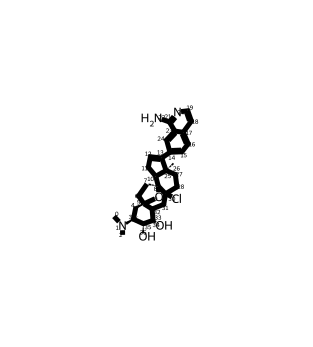 CN(C)[C@H]1C[C@@]23CC[C@]4(O2)C2CC=C(c5ccc6ccnc(N)c6c5)[C@@]2(C)CCC4(Cl)CC3[C@@H](O)[C@@H]1O